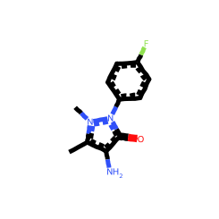 Cc1c(N)c(=O)n(-c2ccc(F)cc2)n1C